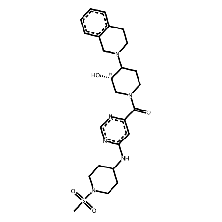 CS(=O)(=O)N1CCC(Nc2cc(C(=O)N3CCC(N4CCc5ccccc5C4)[C@@H](O)C3)ncn2)CC1